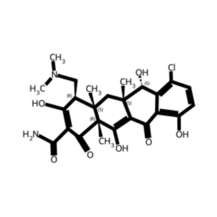 CN(C)C[C@@H]1C(O)=C(C(N)=O)C(=O)[C@@]2(C)C(O)=C3C(=O)c4c(O)ccc(Cl)c4[C@@H](O)[C@@]3(C)C[C@@]12C